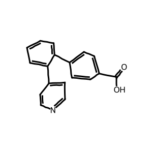 O=C(O)c1ccc(-c2ccccc2-c2ccncc2)cc1